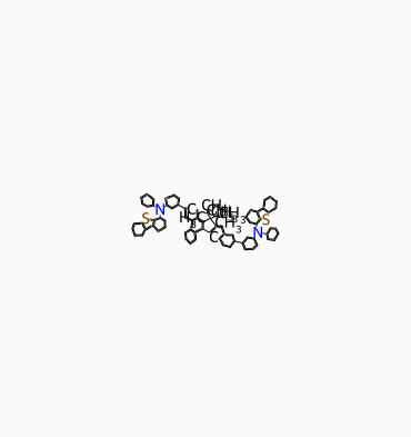 CC(C)(C)C1(C(C)(C)C)c2cc3cc(-c4cccc(N(c5ccccc5)c5cccc6c5sc5ccccc56)c4)ccc3cc2-c2c1c1ccc(-c3cccc(N(c4ccccc4)c4cccc5c4sc4ccccc45)c3)cc1c1ccccc21